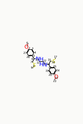 COc1ccc(C(CSC)NCCNC(CSC)c2ccc(OC)cc2)cc1